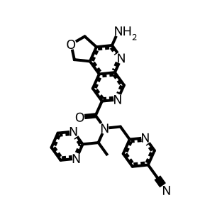 CC(c1ncccn1)N(Cc1ccc(C#N)cn1)C(=O)c1cc2c3c(c(N)nc2cn1)COC3